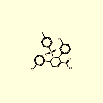 Cc1ccc(S(=O)(=O)N2C(c3cccc(Cl)c3)CC=C(C(=O)O)[C@@H]2c2cccc(Br)c2)cc1